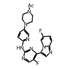 CC(=O)N1CCN(c2ccc(Nc3ncc(F)c(-c4cnc5ccc(F)cn45)n3)nc2)CC1